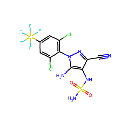 N#Cc1nn(-c2c(Cl)cc(S(F)(F)(F)(F)F)cc2Cl)c(N)c1NS(N)(=O)=O